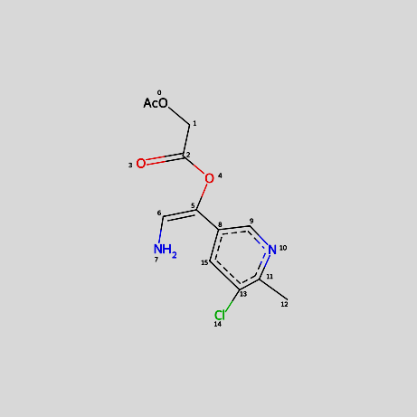 CC(=O)OCC(=O)O/C(=C/N)c1cnc(C)c(Cl)c1